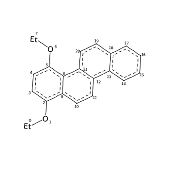 CCOc1ccc(OCC)c2c1ccc1c3ccccc3ccc12